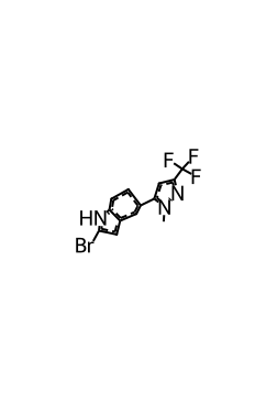 Cn1nc(C(F)(F)F)cc1-c1ccc2[nH]c(Br)cc2c1